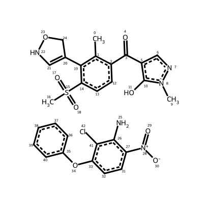 Cc1c(C(=O)c2cnn(C)c2O)ccc(S(C)(=O)=O)c1C1=CNOC1.Nc1c([N+](=O)[O-])ccc(Oc2ccccc2)c1Cl